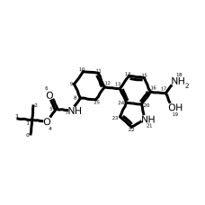 CC(C)(C)OC(=O)NC1CCC=C(c2ccc(C(N)O)c3[nH]ccc23)C1